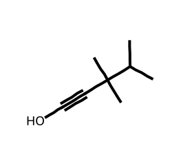 CC(C)C(C)(C)C#CO